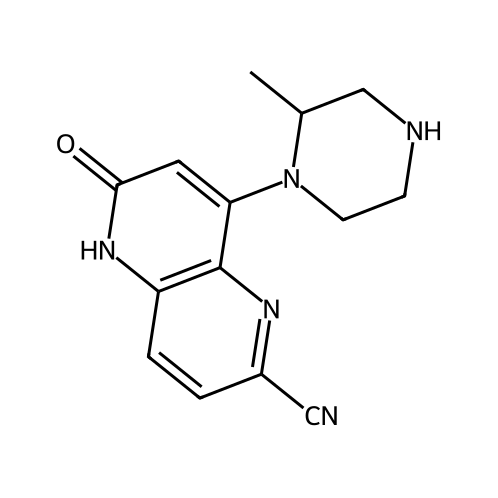 CC1CNCCN1c1cc(=O)[nH]c2ccc(C#N)nc12